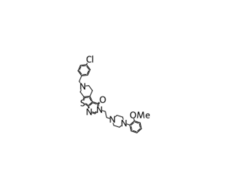 COc1ccccc1N1CCN(CCn2cnc3sc4c(c3c2=O)CCN(Cc2ccc(Cl)cc2)C4)CC1